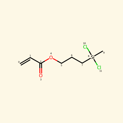 C=CC(=O)OCCC[Si](C)(Cl)Cl